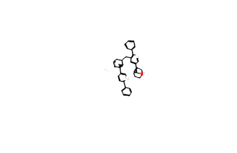 CN1C2CCC(C(Cc3cc(C4NC5CCC4CC5)cnc3-c3ccccc3)C2)C1c1ccc(-c2ccccc2)nc1